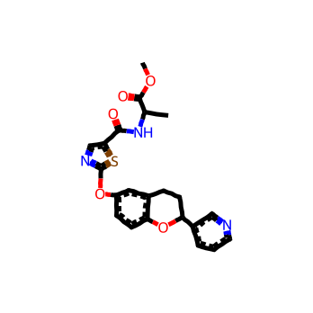 COC(=O)C(C)NC(=O)c1cnc(Oc2ccc3c(c2)CCC(c2cccnc2)O3)s1